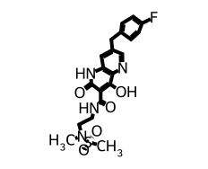 CN(CCNC(=O)c1c(O)c2ncc(Cc3ccc(F)cc3)cc2[nH]c1=O)S(C)(=O)=O